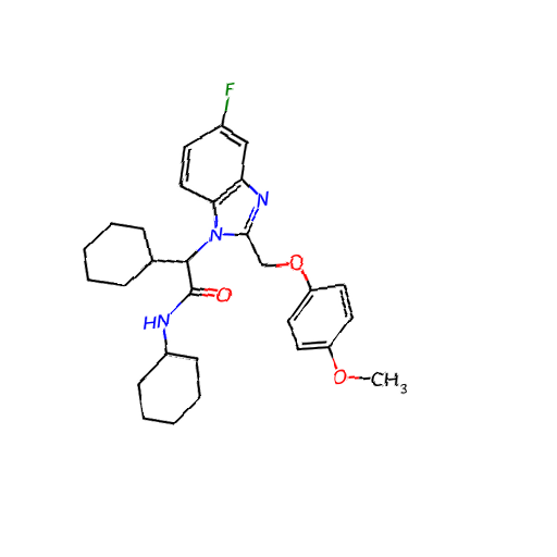 COc1ccc(OCc2nc3cc(F)ccc3n2C(C(=O)NC2CCCCC2)C2CCCCC2)cc1